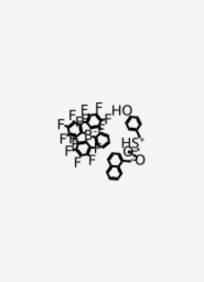 Fc1c(F)c(F)c([B-](c2ccccc2)(c2c(F)c(F)c(F)c(F)c2F)c2c(F)c(F)c(F)c(F)c2F)c(F)c1F.O=S(=O)(C[SH+]Cc1ccc(O)cc1)Cc1cccc2ccccc12